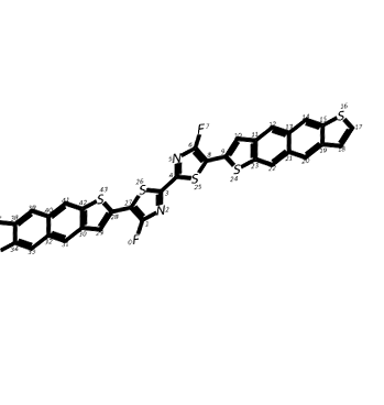 Fc1nc(-c2nc(F)c(-c3cc4cc5cc6sccc6cc5cc4s3)s2)sc1-c1cc2cc3cc4sccc4cc3cc2s1